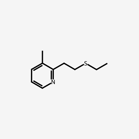 CCSCCc1ncccc1C